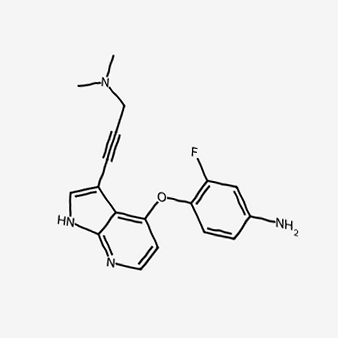 CN(C)CC#Cc1c[nH]c2nccc(Oc3ccc(N)cc3F)c12